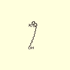 CC(C)Oc1cccc2ccc(CCCCCCCCCCCCCCO)nc12